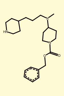 CN(CCCC1CCNCC1)C1CCN(C(=O)OCc2ccccc2)CC1